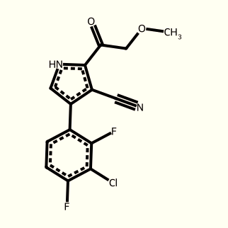 COCC(=O)c1[nH]cc(-c2ccc(F)c(Cl)c2F)c1C#N